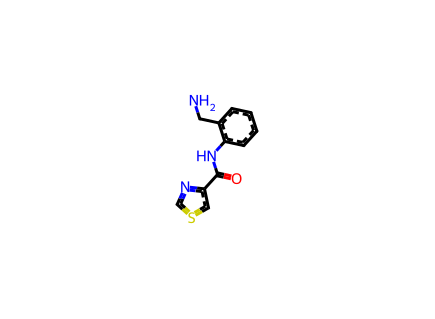 NCc1ccccc1NC(=O)c1cscn1